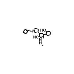 N#Cc1c(C2CCCN(CCc3ccccc3)C2)cc(-c2ccccc2O)nc1N